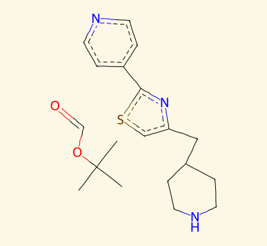 CC(C)(C)OC=O.c1cc(-c2nc(CC3CCNCC3)cs2)ccn1